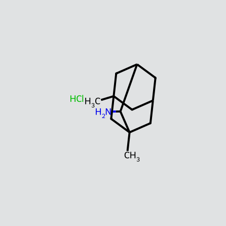 CC12CC3CC(C1)C(N)C(C)(C3)C2.Cl